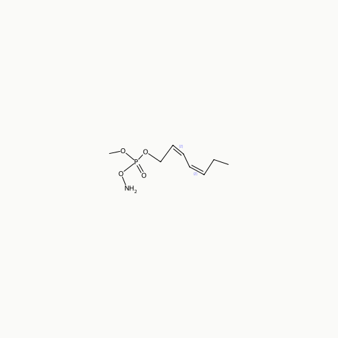 CC/C=C\C=C/COP(=O)(OC)ON